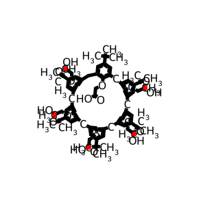 CC(C)(C)c1cc2c(OCC(=O)O)c(c1)Cc1cc(C(C)(C)C)cc(c1OCC(=O)O)Cc1cc(C(C)(C)C)cc(c1OCC(=O)O)Cc1cc(C(C)(C)C)cc(c1OCC(=O)O)Cc1cc(C(C)(C)C)cc(c1OCC(=O)O)Cc1cc(C(C)(C)C)cc(c1OCC(=O)O)C2